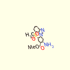 COC(=O)c1cc(S(C)(=O)=O)c(-n2cnc3ccccc32)cc1N